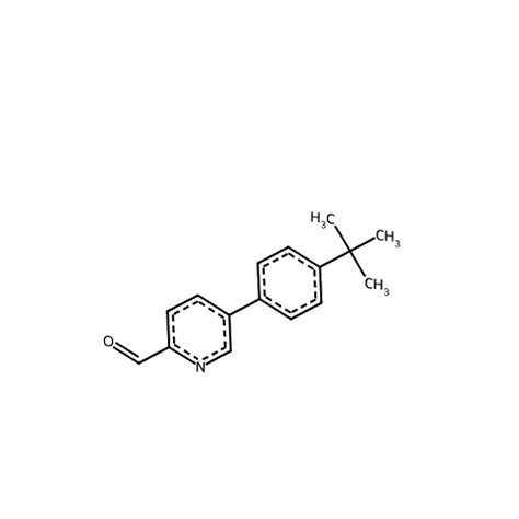 CC(C)(C)c1ccc(-c2ccc(C=O)nc2)cc1